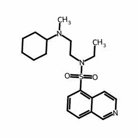 CCN(CCN(C)C1CCCCC1)S(=O)(=O)c1cccc2cnccc12